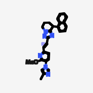 COc1nc(/C=C/c2nc3n(n2)CCCC3c2cccc3ccccc23)ccc1-n1cnc(C)c1